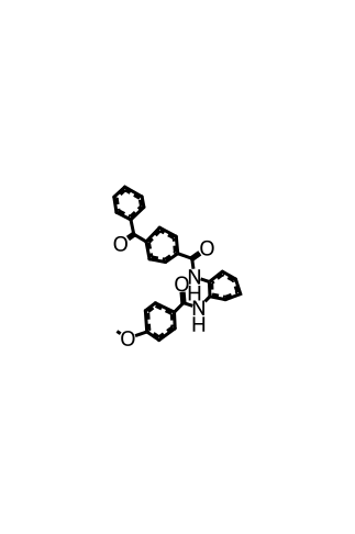 COc1ccc(C(=O)Nc2ccccc2NC(=O)c2ccc(C(=O)c3ccccc3)cc2)cc1